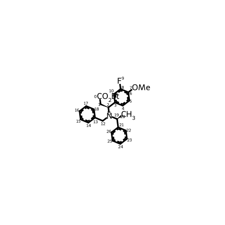 CCOC(=O)C[C@@H](c1ccc(OC)c(F)c1)N(Cc1ccccc1)[C@@H](C)c1ccccc1